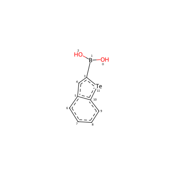 OB(O)c1cc2ccccc2[te]1